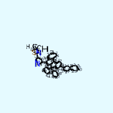 CC1(C)CSC(c2cncc(-c3cc4c(c5ccccc35)-c3ccc(-c5ccc6ccccc6c5)cc3C4(c3ccccc3)c3ccccc3)c2)=N1